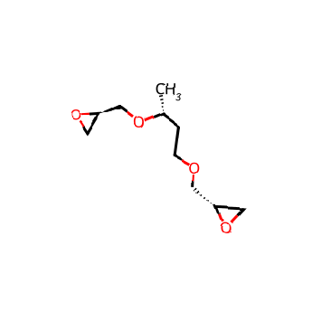 C[C@H](CCOC[C@@H]1CO1)OC[C@H]1CO1